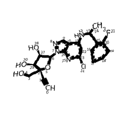 C#C[C@]1(CO)OC(n2ncc3c(NC(C)c4ccccc4F)cc(Cl)nc32)[C@H](O)[C@@H]1O